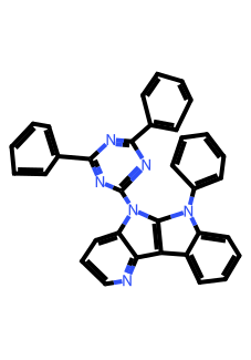 c1ccc(-c2nc(-c3ccccc3)nc(-n3c4cccnc4c4c5ccccc5n(-c5ccccc5)c43)n2)cc1